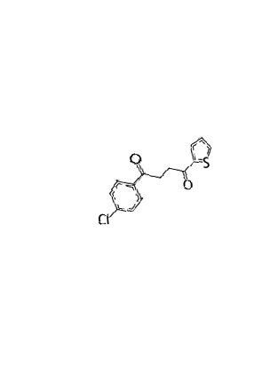 O=C(CCC(=O)c1cccs1)c1ccc(Cl)cc1